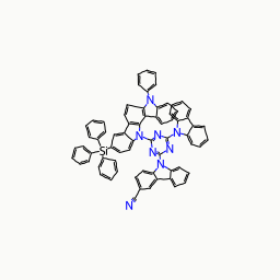 N#Cc1ccc2c(c1)c1ccccc1n2-c1nc(-n2c3ccccc3c3ccccc32)nc(-n2c3ccc([Si](c4ccccc4)(c4ccccc4)c4ccccc4)cc3c3ccc4c(c5ccccc5n4-c4ccccc4)c32)n1